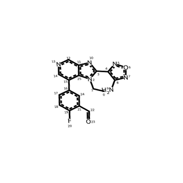 CCn1c(-c2nonc2N)nc2cncc(-c3ccc(F)c(C=O)c3)c21